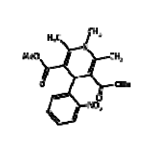 COC(=O)C1=C(C)N(C)C(C)=C(C(=O)OCC(C)C)C1c1ccccc1[N+](=O)[O-]